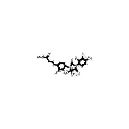 CNC(=O)CCCc1ccc(N2C(=S)N(c3ccc(C#N)c(C(F)(F)F)c3F)C(=O)C2(C)C)cc1F